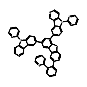 c1ccc(-c2ccccc2-c2ccc3sc4c(-c5ccc6c(c5)c5cnccc5n6-c5ccccn5)cc(-c5ccc6c(c5)c5cnccc5n6-c5ccccn5)cc4c3c2)nc1